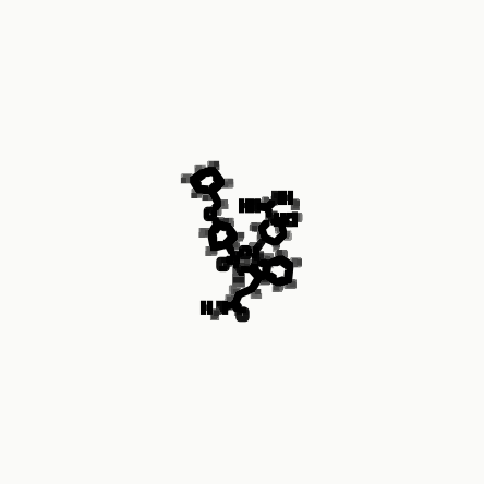 Cl.N=C(N)N1CCC[C@@H](Cn2c(NS(=O)(=O)c3ccc(OCc4ccccc4)cc3)c(CCC(N)=O)c3ccccc32)C1